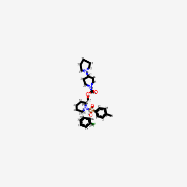 Cc1ccc(S(=O)(=O)N2[C@@H](COC(=O)N3CCC(N4CCCCC4)CC3)CCC[C@H]2c2cccc(F)c2)cc1